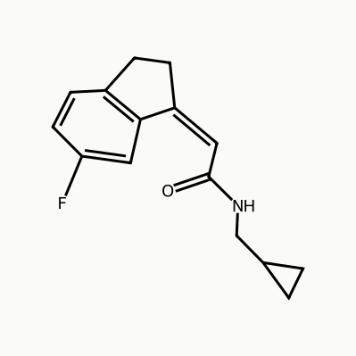 O=C(/C=C1/CCc2ccc(F)cc21)NCC1CC1